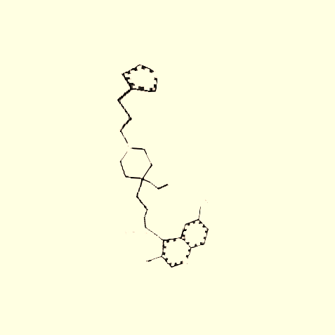 COc1ccc2ncc(Cl)c([C@H](O)CCC3(CO)CCN(CCCc4ccsc4)CC3)c2c1